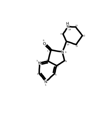 O=C1c2ncncc2CN1C1CCCNC1